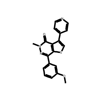 COc1cccc(-c2nn(C)c(=O)c3c(-c4ccncc4)csc23)c1